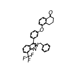 O=C1CCCc2c(Oc3cccc(-c4c5cccc(C(F)(F)F)c5nn4Cc4ccccc4)c3)cccc21